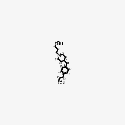 CC(C)(C)CCCN1CCC(Cc2ccc(CCC(C)(C)C)cc2)CC1